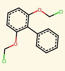 ClCOc1cccc(OCCl)c1-c1ccccc1